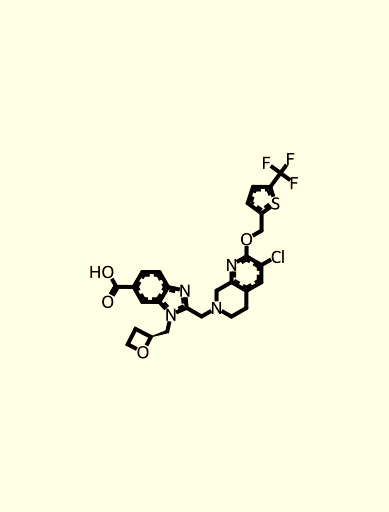 O=C(O)c1ccc2nc(CN3CCc4cc(Cl)c(OCc5ccc(C(F)(F)F)s5)nc4C3)n(C[C@@H]3CCO3)c2c1